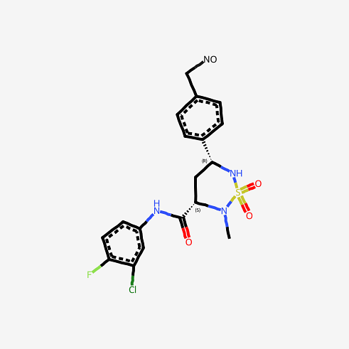 CN1[C@H](C(=O)Nc2ccc(F)c(Cl)c2)C[C@H](c2ccc(CN=O)cc2)NS1(=O)=O